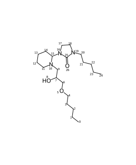 CCCCCOCC(O)CN1CCCCC1N1CCN(CCCCC)C1=O